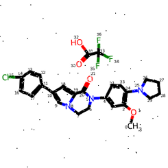 COc1cc(N2CCn3cc(-c4ccc(Cl)cc4)cc3C2=O)ccc1N1CCCC1.O=C(O)C(F)(F)F